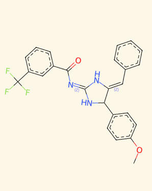 COc1ccc(C2N/C(=N/C(=O)c3cccc(C(F)(F)F)c3)N/C2=C\c2ccccc2)cc1